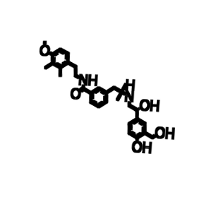 COc1ccc(CCNC(=O)c2cccc(CC(C)(C)NC[C@H](O)c3ccc(O)c(CO)c3)c2)c(C)c1C